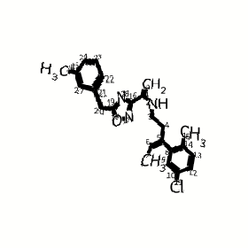 C=C(NCC/C(=C/C)c1cc(Cl)ccc1C)c1noc(Cc2cccc(C)c2)n1